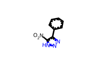 O=[N+]([O-])c1[nH]nnc1-c1ccccc1